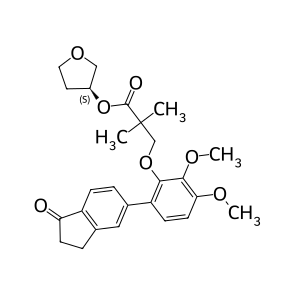 COc1ccc(-c2ccc3c(c2)CCC3=O)c(OCC(C)(C)C(=O)O[C@H]2CCOC2)c1OC